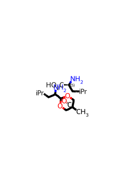 CC(C)CC(N)C12OCC(C)(CO1)CO2.CC(C)C[C@H](N)C(=O)O